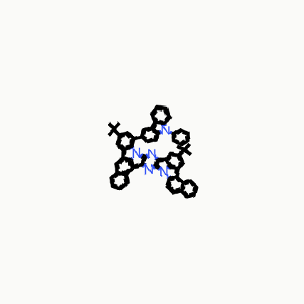 CC(C)(C)c1cc(-c2ccc3c(c2)c2ccccc2n3-c2ccccc2)c2c(c1)c1cc3ccccc3c3c4nc5c(nc4n2c13)c1cc(C(C)(C)C)cc2c3c4ccccc4ccc3n5c12